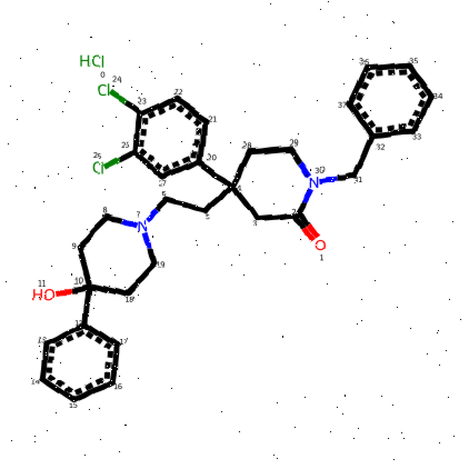 Cl.O=C1CC(CCN2CCC(O)(c3ccccc3)CC2)(c2ccc(Cl)c(Cl)c2)CCN1Cc1ccccc1